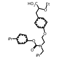 CCOC(Cc1ccc(OCCN(CC(C)C)C(=O)Oc2ccc(C(C)C)cc2)cc1)C(=O)O